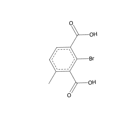 Cc1ccc(C(=O)O)c(Br)c1C(=O)O